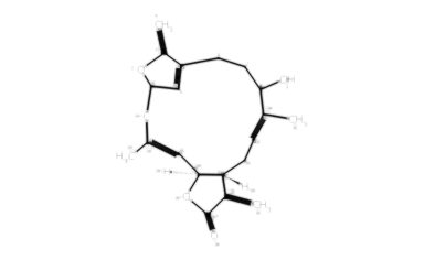 C=C1OC2C=C1CCC(O)/C(C)=C\C[C@@H]1C(=C)C(=O)O[C@H]1/C=C(\C)C2